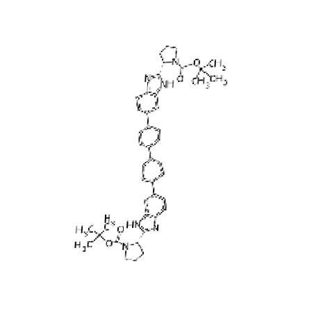 CC(C)(C)OC(=O)N1CCC[C@H]1c1nc2ccc(-c3ccc(-c4ccc(-c5ccc6nc([C@@H]7CCCN7C(=O)OC(C)(C)C)[nH]c6c5)cc4)cc3)cc2[nH]1